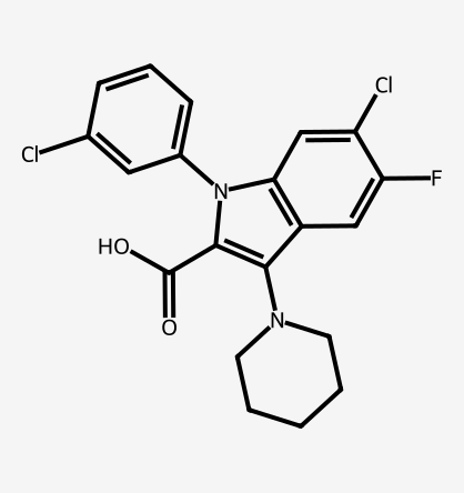 O=C(O)c1c(N2CCCCC2)c2cc(F)c(Cl)cc2n1-c1cccc(Cl)c1